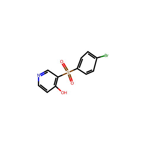 O=S(=O)(c1ccc(Br)cc1)c1cnccc1O